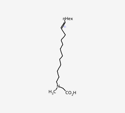 CCCCCC/C=C/CCCCCCCCCCN(C)CC(=O)O